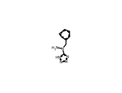 NN(Cc1ccccc1)c1nnn[nH]1